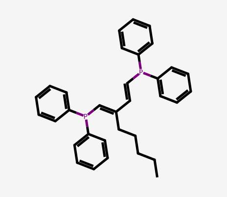 CCCCCC(C=CP(c1ccccc1)c1ccccc1)=CP(c1ccccc1)c1ccccc1